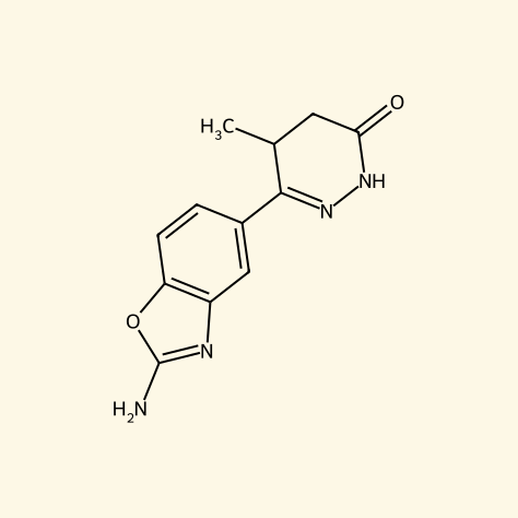 CC1CC(=O)NN=C1c1ccc2oc(N)nc2c1